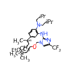 CCOC(=O)C[C@@H](C)c1ccc(N(CC(C)C)CC(C)C)c(Nc2nc(C(F)(F)F)cn2COCC[Si](C)(C)C)c1